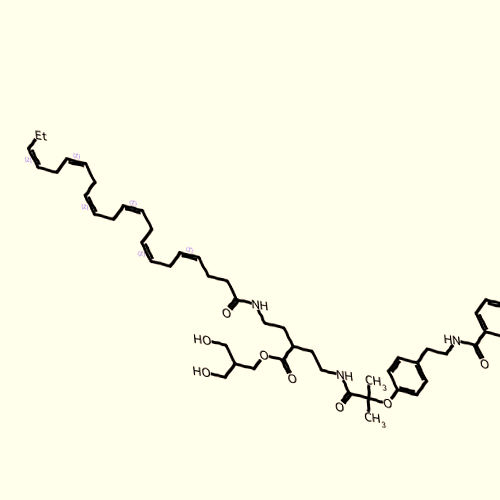 CC/C=C\C/C=C\C/C=C\C/C=C\C/C=C\C/C=C\CCC(=O)NCCC(CCNC(=O)C(C)(C)Oc1ccc(CCNC(=O)c2ccc(Cl)cc2)cc1)C(=O)OCC(CO)CO